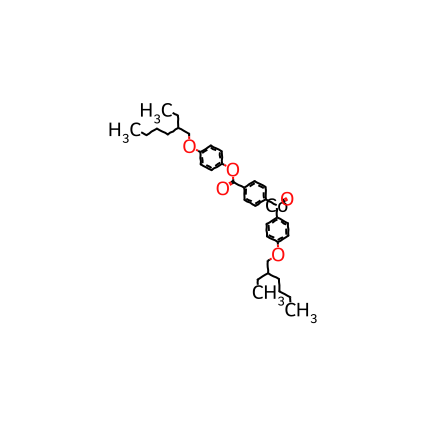 CCCCC(CC)COc1ccc(OC(=O)c2cc[c]([Co](=[O])[c]3ccc(OCC(CC)CCCC)cc3)cc2)cc1